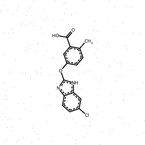 Cc1ccc(Oc2nc3ccc(Cl)cc3[nH]2)cc1C(=O)O